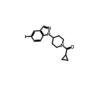 O=C(C1CC1)N1CCC(n2ncc3cc(I)ccc32)CC1